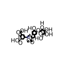 COC(=O)[C@@H]1Cc2cc(O[C@@H]3O[C@H](CO)[C@@H](O)[C@H](O)[C@H]3O)c(O)cc2N1/C=C/C1=CC(C(=O)O)=N[C@H](C(=O)O)C1